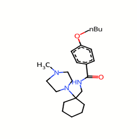 CCCCOc1ccc(C(=O)NCC2(N3CCN(C)CC3)CCCCC2)cc1